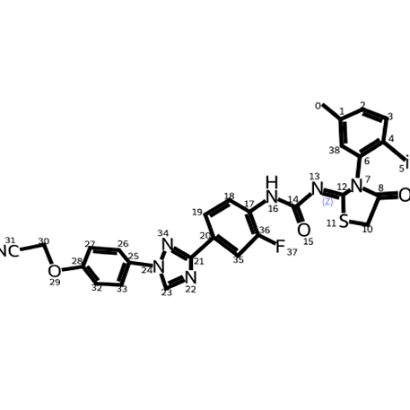 Cc1ccc(C(C)C)c(N2C(=O)CS/C2=N\C(=O)Nc2ccc(-c3ncn(-c4ccc(OCC#N)cc4)n3)cc2F)c1